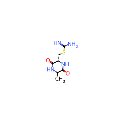 CC1NC(=O)[C@H](CSC(=N)N)NC1=O